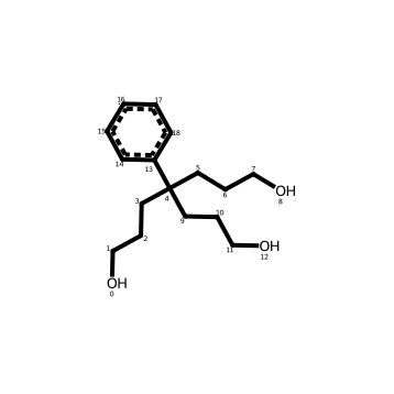 OCCCC(CCCO)(CCCO)c1cc[c]cc1